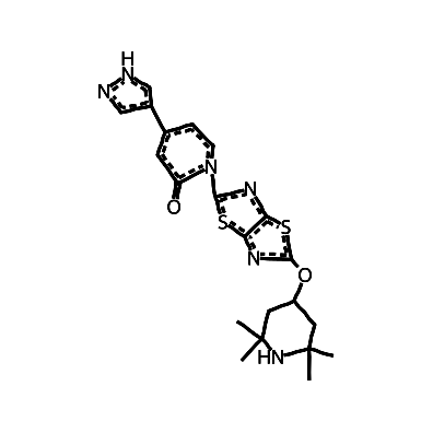 CC1(C)CC(Oc2nc3sc(-n4ccc(-c5cn[nH]c5)cc4=O)nc3s2)CC(C)(C)N1